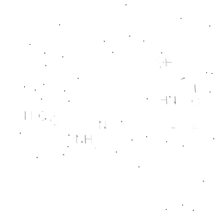 COCC(N)c1ccc(-c2ccc([C@H](O)[C@@H](CF)NC(=O)C(F)F)cc2)cn1